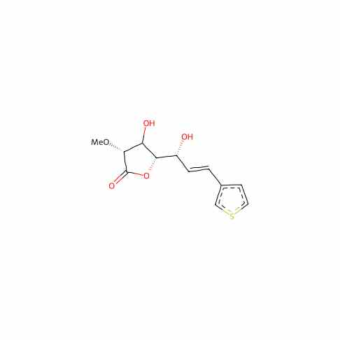 CO[C@H]1C(=O)O[C@@H]([C@H](O)/C=C/c2ccsc2)C1O